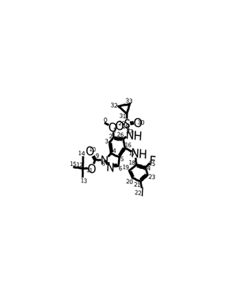 COc1cc2c(cnn2C(=O)OC(C)(C)C)c(Nc2ccc(I)cc2F)c1NS(=O)(=O)C1CC1